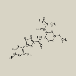 CCN1CCC(NC(=O)c2cc(-c3ccc(F)cc3F)on2)C(C(=O)N(C)C)C1